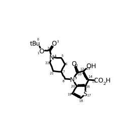 CC(C)(C)OC(=O)N1CCC(Cn2c(=O)c(O)c(C(=O)O)c3sccc32)CC1